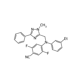 CCc1cccc(N(Cc2nc(-c3ccccc3)nn2C)c2cc(F)c(C#N)cc2F)c1